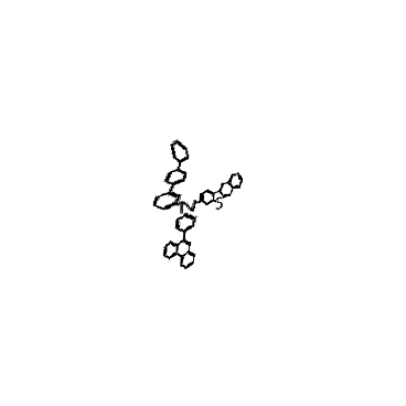 c1ccc(-c2ccc(-c3cccc(N(c4ccc(-c5cc6ccccc6c6ccccc56)cc4)c4ccc5c(c4)sc4cc6ccccc6cc45)c3)cc2)cc1